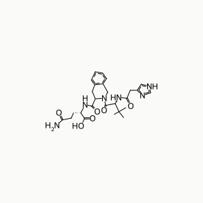 CC(C)(C)[C@H](NC(=O)Cc1c[nH]cn1)C(=O)N1Cc2ccccc2CC1C(=O)N[C@@H](CCC(N)=O)C(=O)O